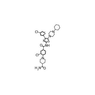 NC(=O)C1CCN(c2ccc(C(=O)Nc3nc(-c4cc(Cl)cs4)c(N4CCN(C5CCCCC5)CC4)s3)cc2Cl)CC1